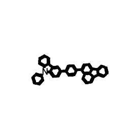 c1ccc(-n2c3ccccc3c3cc(-c4ccc(-c5ccc6c7c(cccc57)-c5ccccc5-6)cc4)ccc32)cc1